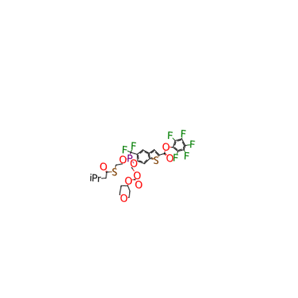 CC(C)CC(=O)SCCOP(OCOC(=O)OC1CCOCC1)C(F)(F)c1ccc2sc(C(=O)Oc3c(F)c(F)c(F)c(F)c3F)cc2c1